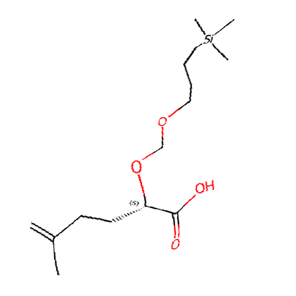 C=C(C)CC[C@H](OCOCC[Si](C)(C)C)C(=O)O